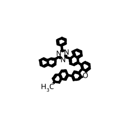 CC1C=Cc2ccc(-c3ccc4oc5cccc(-c6ccc(-c7nc(-c8ccccc8)nc(-c8ccc9ccccc9c8)n7)c7ccccc67)c5c4c3)cc2C1